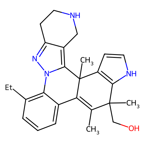 CCc1cccc2c1-n1nc3c(c1C1(C)C2=C(C)C(C)(CO)c2[nH]ccc21)CNCC3